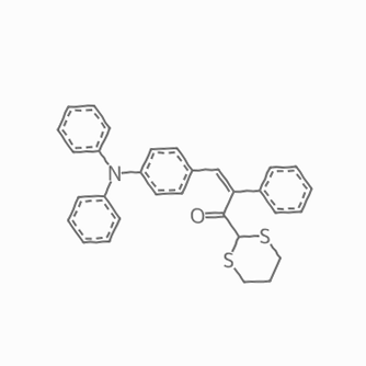 O=C(C(=Cc1ccc(N(c2ccccc2)c2ccccc2)cc1)c1ccccc1)C1SCCCS1